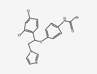 CCCC(=O)Nc1ccc(SC(Cn2ccnc2)c2ccc(Cl)cc2Cl)cc1